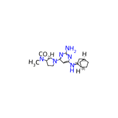 CN(C(=O)O)C1CCN(c2cc(N[C@H]3C[C@H]4CC[C@@H]3C4)nc(N)n2)C1